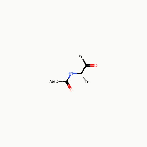 CCC(=O)[C@H](CC)NC(=O)OC